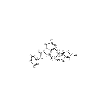 COc1ccc([C@@H]2Sc3cc(C)ccc3N(CCN(C)Cc3ccccc3)C(=O)[C@@H]2OC(C)=O)cc1